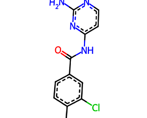 Cc1ccc(C(=O)Nc2ccnc(N)n2)cc1Cl